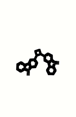 c1ccc2c(c1)[nH]c1ccc(C3CCC3c3ccc4[nH]c5ccccc5c4c3)cc12